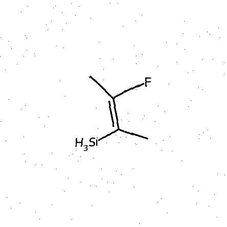 CC(F)=C(C)[SiH3]